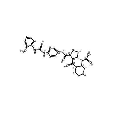 Cc1ccccc1NC(=O)Nc1ccc(CC(=O)N2CCCC2C(=O)N2CCSCC2CC(=O)O)cc1